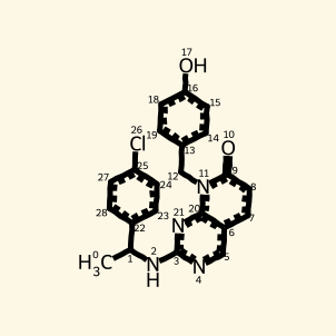 CC(Nc1ncc2ccc(=O)n(Cc3ccc(O)cc3)c2n1)c1ccc(Cl)cc1